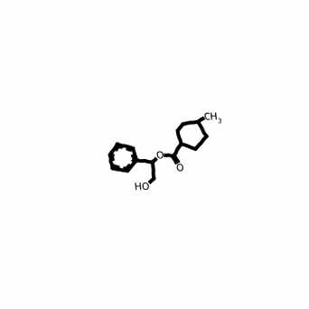 CC1CCC(C(=O)OC(CO)c2ccccc2)CC1